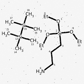 CCO[Si](CCCN)(OCC)OCC.C[Si](C)(C)[Si](C)(C)C